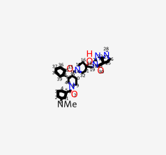 CNc1cccc(C(=O)N2CC[C@@H](C(=O)N3CCC(O)(Cn4cnc5c(ccn5C)c4=O)CC3)[C@H](c3ccccc3)C2)c1